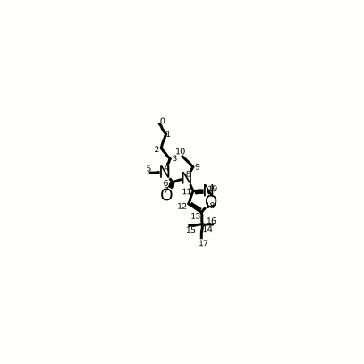 CCCCN(C)C(=O)N(CC)c1cc(C(C)(C)C)on1